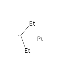 CC[CH]CC.[Pt]